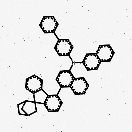 c1ccc(-c2ccc(N(c3ccc4ccccc4c3)c3ccc(-c4cccc5c4-c4ccccc4C54CC5CCC4C5)c4ccccc34)cc2)cc1